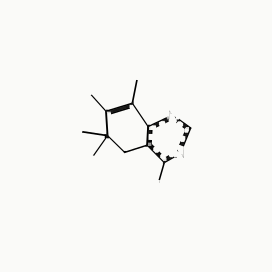 CC1=C(C)C(C)(C)Cc2c(Cl)ncnc21